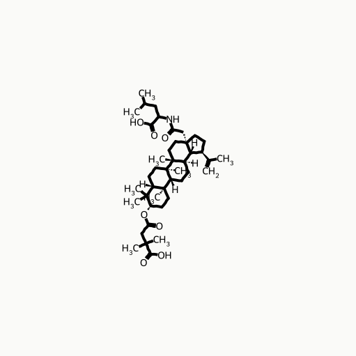 C=C(C)[C@@H]1CC[C@]2(CC(=O)NC(CC(C)C)C(=O)O)CC[C@]3(C)[C@H](CC[C@@H]4[C@@]5(C)CC[C@H](OC(=O)CC(C)(C)C(=O)O)C(C)(C)[C@@H]5CC[C@]43C)[C@@H]12